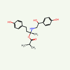 CC(C)C(=O)O[C@](C)(CCc1ccc(O)cc1)NCC(O)c1ccc(O)cc1